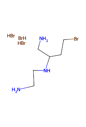 Br.Br.Br.NCCNC(CN)CCBr